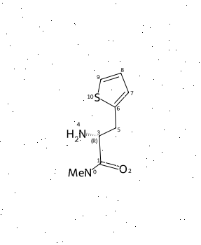 CNC(=O)[C@H](N)Cc1cccs1